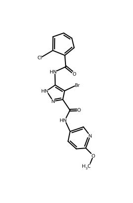 COc1ccc(NC(=O)c2n[nH]c(NC(=O)c3ccccc3Cl)c2Br)cn1